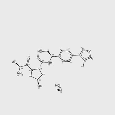 Cc1ncsc1-c1ccc([C@H](CO)NC(=O)[C@@H]2C[C@@H](O)CN2C(=O)[C@@H](N)C(C)C)cc1.Cl.Cl